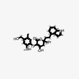 Cc1cc(SC2=C(O)CC(CCc3cccc4[nH]ccc34)(C(C)C)OC2=O)c(C(C)(C)C)cc1CO